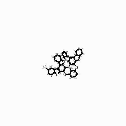 CC(C)(C)c1ccc2oc3c4c(c5sc6ccccc6c5c3c2c1)B1c2c(cccc2S4)Oc2c1c1oc3ccccc3c1c1c2oc2ccccc21